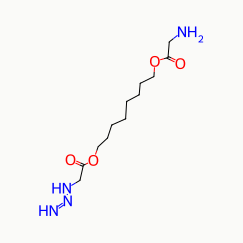 N=NNCC(=O)OCCCCCCCCOC(=O)CN